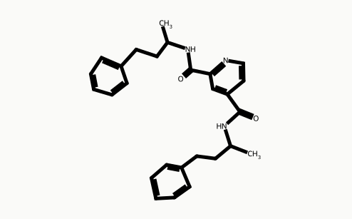 CC(CCc1ccccc1)NC(=O)c1ccnc(C(=O)NC(C)CCc2ccccc2)c1